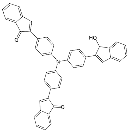 O=C1C(c2ccc(N(c3ccc(C4=Cc5ccccc5C4=O)cc3)c3ccc(C4=Cc5ccccc5C4O)cc3)cc2)=Cc2ccccc21